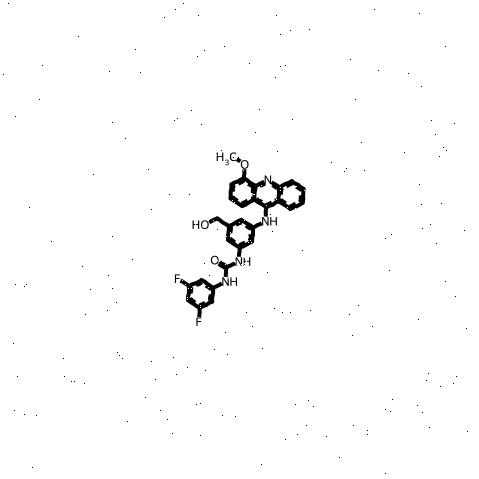 COc1cccc2c(Nc3cc(CO)cc(NC(=O)Nc4cc(F)cc(F)c4)c3)c3ccccc3nc12